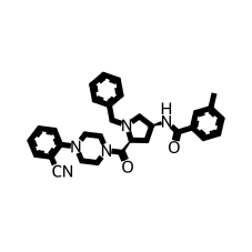 Cc1cccc(C(=O)N[C@H]2C[C@@H](C(=O)N3CCN(c4ccccc4C#N)CC3)N(Cc3ccccc3)C2)c1